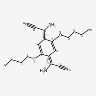 CCCCOc1c/c(=C(/N)C#N)c(OCCCC)c/c1=C(/N)C#N